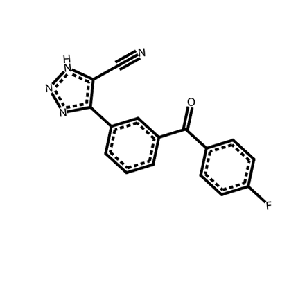 N#Cc1[nH]nnc1-c1cccc(C(=O)c2ccc(F)cc2)c1